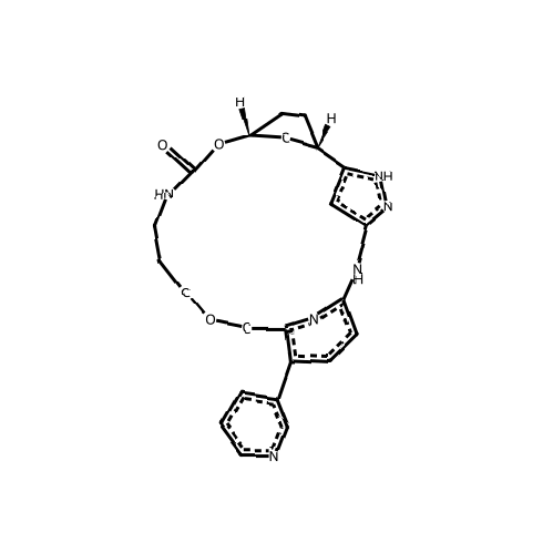 O=C1NCCCOCc2nc(ccc2-c2cccnc2)Nc2cc([nH]n2)[C@H]2CC[C@H](C2)O1